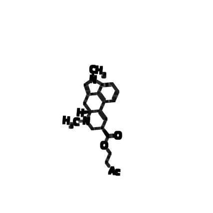 CC(=O)CCOC(=O)[C@@H]1C=C2c3cccc4c3c(cn4C)C[C@H]2N(C)C1